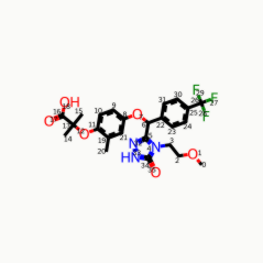 COCCn1c(C(Oc2ccc(OC(C)(C)C(=O)O)c(C)c2)c2ccc(C(F)(F)F)cc2)n[nH]c1=O